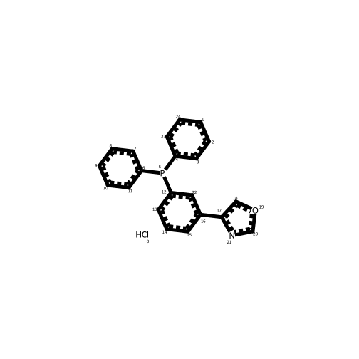 Cl.c1ccc(P(c2ccccc2)c2cccc(-c3cocn3)c2)cc1